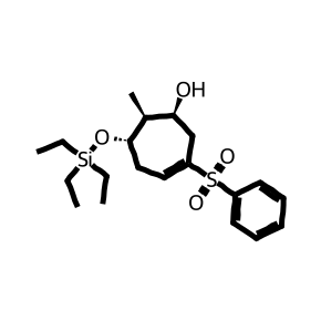 CC[Si](CC)(CC)O[C@H]1CC=C(S(=O)(=O)c2ccccc2)C[C@H](O)[C@@H]1C